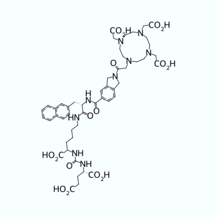 O=C(O)CC[C@H](NC(=O)NC(CCCCNC(=O)[C@H](Cc1ccc2ccccc2c1)NC(=O)c1ccc2c(c1)CN(C(=O)CN1CCN(CC(=O)O)CCN(CC(=O)O)CCN(CC(=O)O)CC1)C2)C(=O)O)C(=O)O